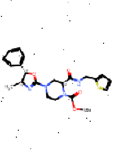 C[C@@H]1N=C(N2CCN(C(=O)OC(C)(C)C)[C@H](C(=O)NCc3cccs3)C2)O[C@H]1c1ccccc1